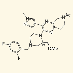 COC[C@H]1CN(Cc2ccc(F)cc2F)CCN1c1nc2c(nc1-c1cnn(C)c1)CN(C(C)=O)CC2